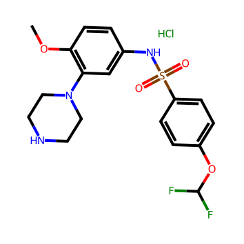 COc1ccc(NS(=O)(=O)c2ccc(OC(F)F)cc2)cc1N1CCNCC1.Cl